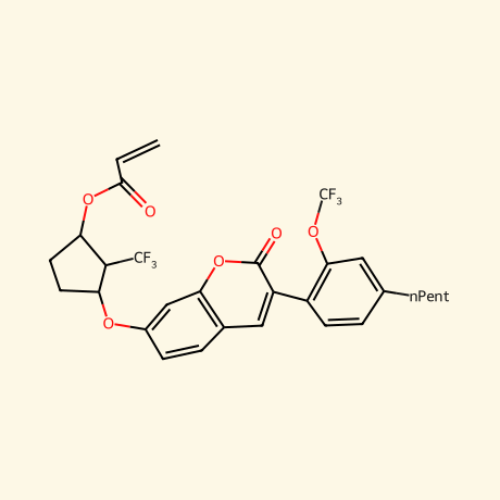 C=CC(=O)OC1CCC(Oc2ccc3cc(-c4ccc(CCCCC)cc4OC(F)(F)F)c(=O)oc3c2)C1C(F)(F)F